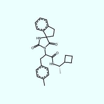 Cc1ccc(CC(C(=O)N[C@@H](C)C2CCC2)N2C(=O)NC3(CCc4ccccc43)C2=O)cc1